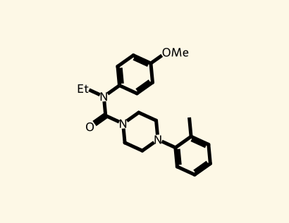 CCN(C(=O)N1CCN(c2ccccc2C)CC1)c1ccc(OC)cc1